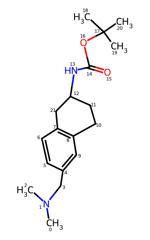 CN(C)Cc1ccc2c(c1)CCC(NC(=O)OC(C)(C)C)C2